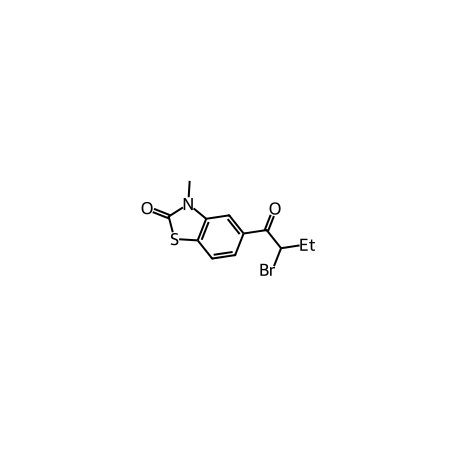 CCC(Br)C(=O)c1ccc2sc(=O)n(C)c2c1